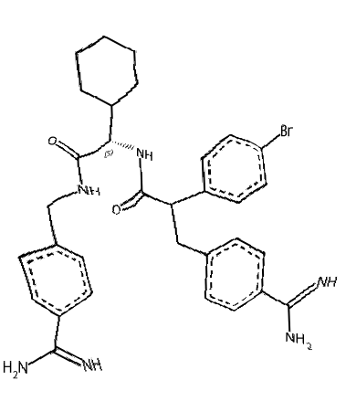 N=C(N)c1ccc(CNC(=O)[C@@H](NC(=O)C(Cc2ccc(C(=N)N)cc2)c2ccc(Br)cc2)C2CCCCC2)cc1